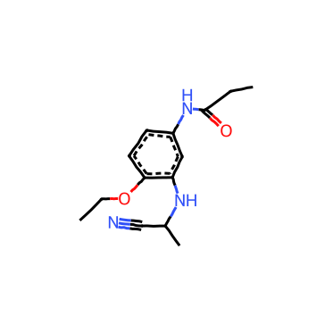 CCOc1ccc(NC(=O)CC)cc1NC(C)C#N